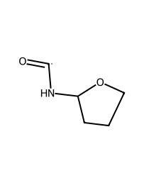 O=[C]NC1CCCO1